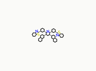 c1cc(-c2nc3ccccc3s2)cc(-c2nc(-c3cccc(-c4nc5ccccc5s4)c3)c(-c3ccc4ccccc4c3)cc2-c2ccc3ccccc3c2)c1